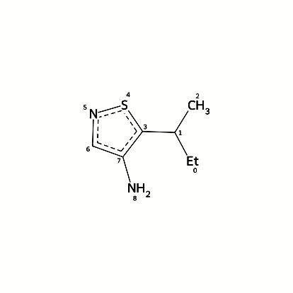 CCC(C)c1sncc1N